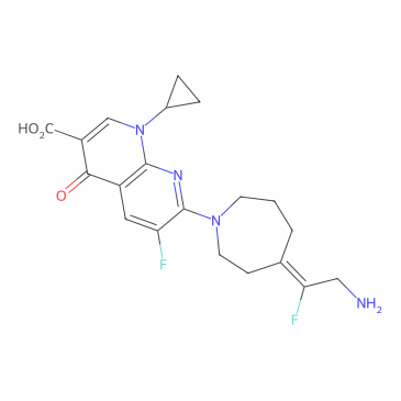 NC/C(F)=C1\CCCN(c2nc3c(cc2F)c(=O)c(C(=O)O)cn3C2CC2)CC1